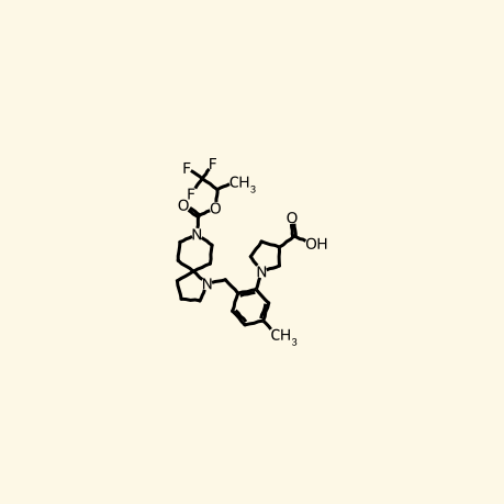 Cc1ccc(CN2CCCC23CCN(C(=O)OC(C)C(F)(F)F)CC3)c(N2CCC(C(=O)O)C2)c1